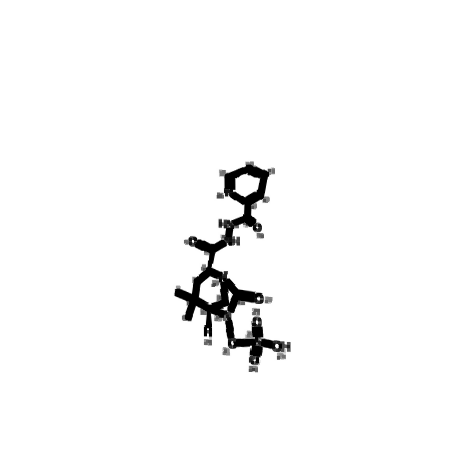 CC1(C)C[C@@H](C(=O)NNC(=O)c2ccccn2)N2C[C@@H]1N(OS(=O)(=O)O)C2=O